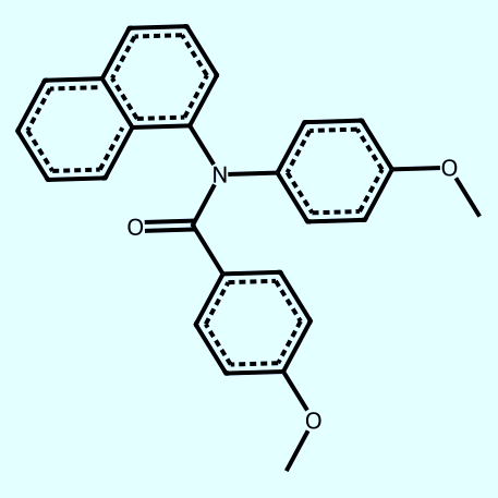 COc1ccc(C(=O)N(c2ccc(OC)cc2)c2cccc3ccccc23)cc1